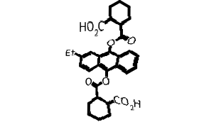 CCc1ccc2c(OC(=O)C3CCCCC3C(=O)O)c3ccccc3c(OC(=O)C3CCCCC3C(=O)O)c2c1